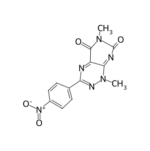 Cn1nc(-c2ccc([N+](=O)[O-])cc2)nc2c(=O)n(C)c(=O)nc1-2